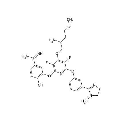 CSCCC(N)COc1c(F)c(Oc2cccc(C3=NCCN3C)c2)nc(Oc2cc(C(=N)N)ccc2O)c1F